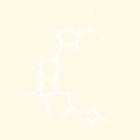 Cn1c(=O)n(CC(=O)N2CC(F)C2)c2cc(-c3ccc(C(F)F)s3)cnc21